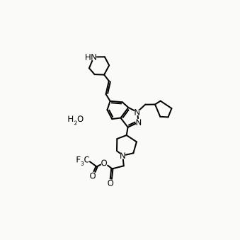 O.O=C(CN1CCC(c2nn(CC3CCCC3)c3cc(C=CC4CCNCC4)ccc23)CC1)OC(=O)C(F)(F)F